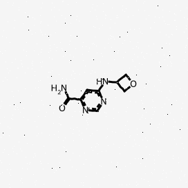 NC(=O)c1cc(NC2COC2)ncn1